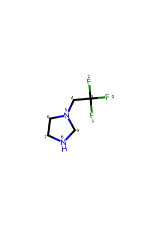 FC(F)(F)CN1CCNC1